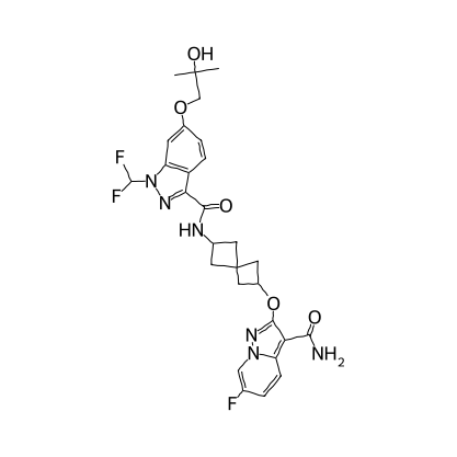 CC(C)(O)COc1ccc2c(C(=O)NC3CC4(C3)CC(Oc3nn5cc(F)ccc5c3C(N)=O)C4)nn(C(F)F)c2c1